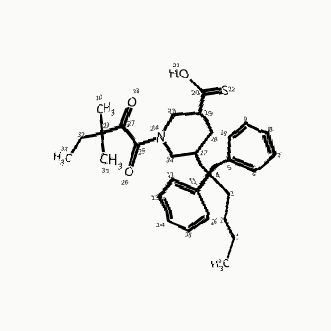 CCCCC(c1ccccc1)(c1ccccc1)C1CC(C(O)=S)CN(C(=O)C(=O)C(C)(C)CC)C1